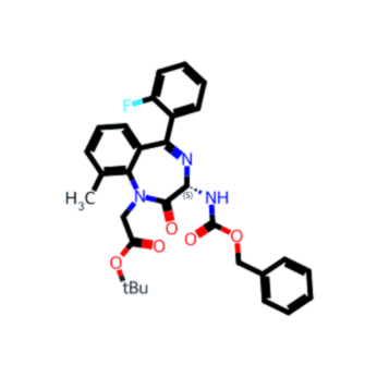 Cc1cccc2c1N(CC(=O)OC(C)(C)C)C(=O)[C@@H](NC(=O)OCc1ccccc1)N=C2c1ccccc1F